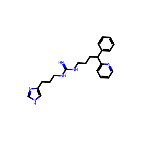 N=C(NCCCc1c[nH]cn1)NCCCC(c1ccccc1)c1ccccn1